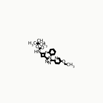 CCOc1ccc(-c2nnc(C3CC(NC(=O)OC(C)(C)C)C3)n2-c2ccccc2F)nc1